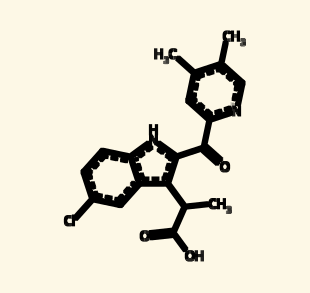 Cc1cnc(C(=O)c2[nH]c3ccc(Cl)cc3c2C(C)C(=O)O)cc1C